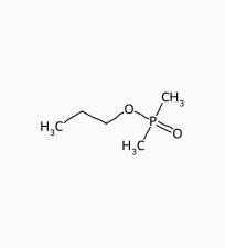 CCCOP(C)(C)=O